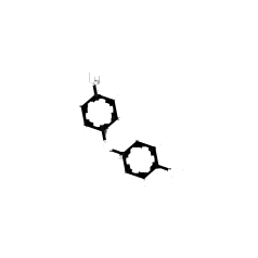 Brc1ccc(Sc2ccc(Br)cc2)cc1